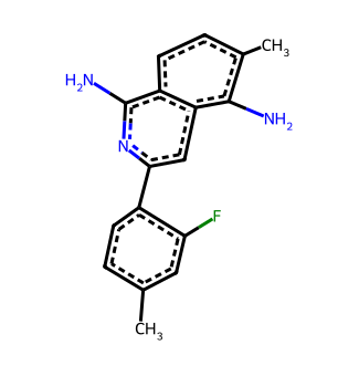 Cc1ccc(-c2cc3c(N)c(C)ccc3c(N)n2)c(F)c1